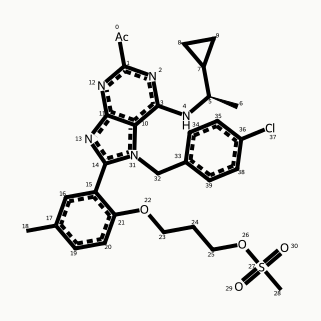 CC(=O)c1nc(N[C@H](C)C2CC2)c2c(n1)nc(-c1cc(C)ccc1OCCCOS(C)(=O)=O)n2Cc1ccc(Cl)cc1